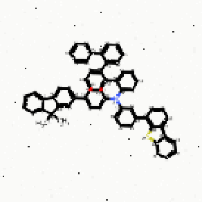 CC1(C)c2ccccc2-c2ccc(-c3ccc(N(c4cccc(-c5cccc6c5sc5ccccc56)c4)c4ccccc4-c4ccccc4-c4ccccc4-c4ccccc4)cc3)cc21